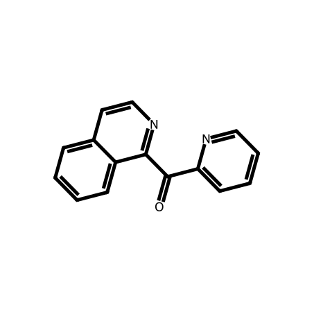 O=C(c1ccccn1)c1nccc2ccccc12